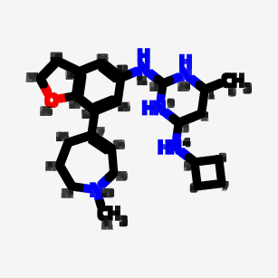 CC1CC(NC2CCC2)NC(Nc2cc3c(c(C4=CCN(C)CCC4)c2)OCC3)N1